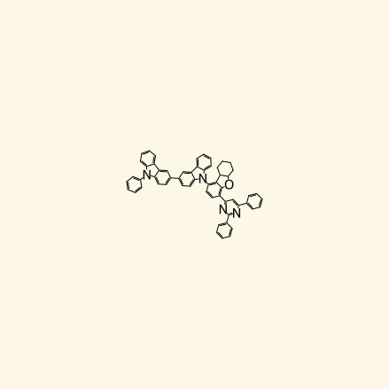 c1ccc(-c2cc(-c3ccc(-n4c5ccccc5c5cc(-c6ccc7c(c6)c6ccccc6n7-c6ccccc6)ccc54)c4c3OC3CCCCC43)nc(-c3ccccc3)n2)cc1